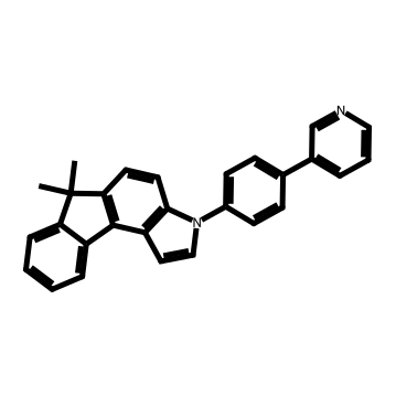 CC1(C)c2ccccc2-c2c1ccc1c2ccn1-c1ccc(-c2cccnc2)cc1